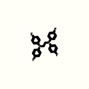 Fc1ccc(P(CCP(c2ccc(F)cc2)c2ccc(F)cc2)c2ccc(F)cc2)cc1